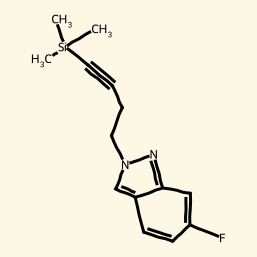 C[Si](C)(C)C#CCCn1cc2ccc(F)cc2n1